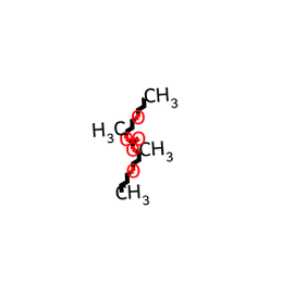 CCCCOCCC(C)OC(=O)OC(C)CCOCCCC